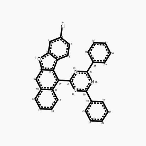 Clc1ccc2c(c1)oc1cc3ccccc3c(-c3nc(-c4ccccc4)nc(-c4ccccc4)n3)c12